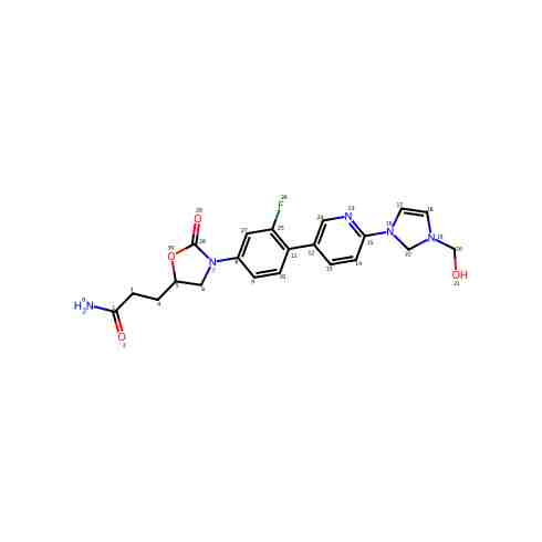 NC(=O)CCC1CN(c2ccc(-c3ccc(N4C=CN(CO)C4)nc3)c(F)c2)C(=O)O1